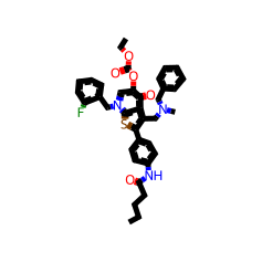 CCCCC(=O)Nc1ccc(-c2sc3c(c2CN(C)Cc2ccccc2)c(=O)c(OC(=O)OCC)cn3Cc2ccccc2F)cc1